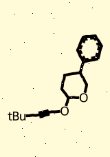 CC(C)(C)C#COC1CCC(c2ccccc2)CO1